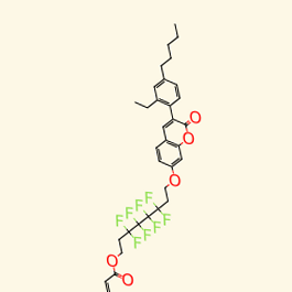 C=CC(=O)OCCC(F)(F)C(F)(F)C(F)(F)C(F)(F)CCOc1ccc2cc(-c3ccc(CCCCC)cc3CC)c(=O)oc2c1